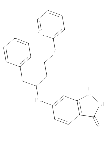 O=c1[nH][nH]c2cc(NC(CCNc3ccccn3)Cc3ccccc3)ccc12